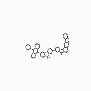 CC1(C)c2ccc(-c3c4ccccc4c(-c4ccccc4)c4ccccc34)cc2-c2ccc(-c3ccc4c(c3)sc3ccc5cc6sc7ccccc7c6cc5c34)cc21